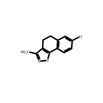 CCc1ccc2c(c1)CCc1c(C(=O)O)noc1-2